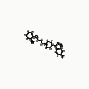 Fc1ccc2c(C3CCN(CCCOc4cc[c]cc4Br)CC3)noc2c1